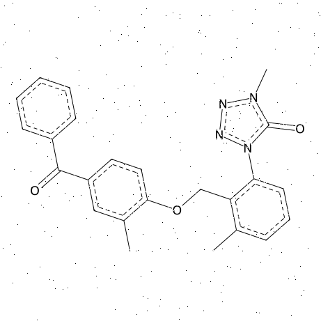 Cc1cc(C(=O)c2ccccc2)ccc1OCc1c(C)cccc1-n1nnn(C)c1=O